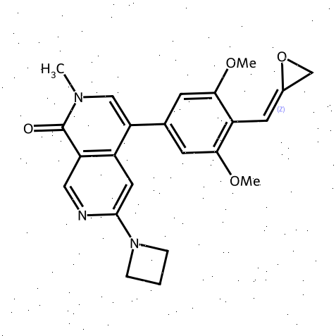 COc1cc(-c2cn(C)c(=O)c3cnc(N4CCC4)cc23)cc(OC)c1/C=C1/CO1